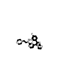 NN(CCN1CCOCC1)c1nccc(-c2c(-c3ccc(F)cc3)nc3occn23)n1